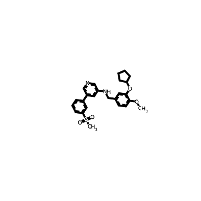 COc1ccc(CNc2cncc(-c3cccc(S(C)(=O)=O)c3)c2)cc1OC1CCCC1